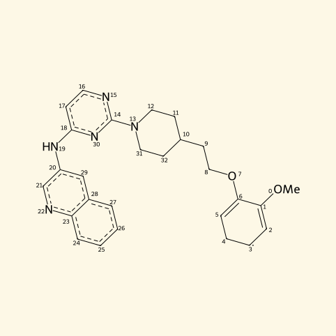 COC1=C[CH]CC=C1OCCC1CCN(c2nccc(Nc3cnc4ccccc4c3)n2)CC1